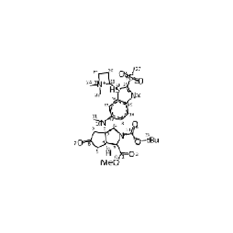 COC(=O)C1[C@H]2CC(=O)C[C@@]2(N(C)c2ccc3c(c2)[SH](C2CC[N+]2(C)C)C(S(C)(=O)=O)=N3)CN1C(=O)OC(C)(C)C